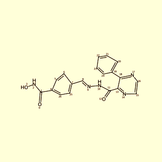 O=C(NO)c1ccc(C=NNC(=O)c2nccnc2-c2ccccc2)cc1